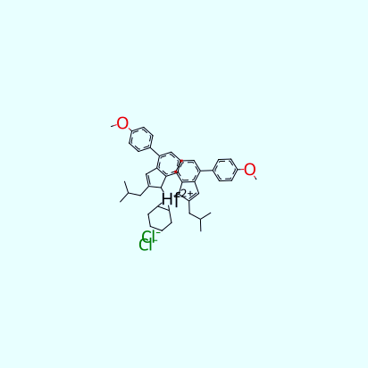 COc1ccc(-c2cccc3c2C=C(CC(C)C)[CH]3[Hf+2]2([CH]3C(CC(C)C)=Cc4c(-c5ccc(OC)cc5)cccc43)[CH]3CCCC[CH]32)cc1.[Cl-].[Cl-]